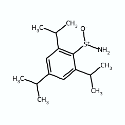 CC(C)c1cc(C(C)C)c([S+](N)[O-])c(C(C)C)c1